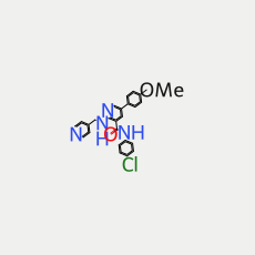 COc1ccc(-c2cnc(NCc3ccncc3)c(C(=O)Nc3ccc(Cl)cc3)c2)cc1